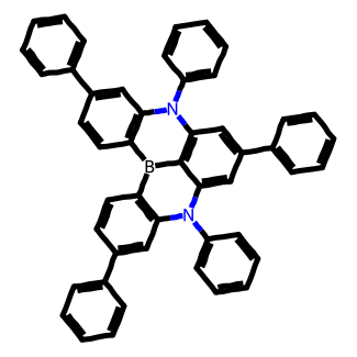 c1ccc(-c2ccc3c(c2)N(c2ccccc2)c2cc(-c4ccccc4)cc4c2B3c2ccc(-c3ccccc3)cc2N4c2ccccc2)cc1